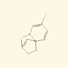 BrC1=CC2SC3=CC2(C=C1)CC3